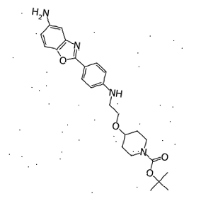 CC(C)(C)OC(=O)N1CCC(OCCNc2ccc(-c3nc4cc(N)ccc4o3)cc2)CC1